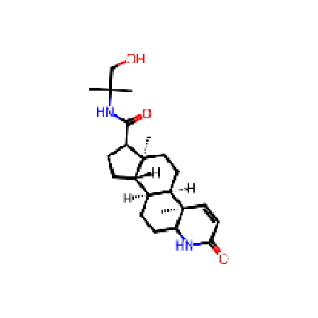 CC(C)(CO)NC(=O)C1CC[C@H]2[C@@H]3CCC4NC(=O)C=C[C@]4(C)[C@@H]3CC[C@]12C